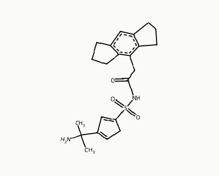 CC(C)(N)C1=CCC(S(=O)(=O)NC(=O)Cc2c3c(cc4c2CCC4)CCC3)=C1